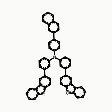 c1cc(-c2ccc3oc4ccccc4c3c2)cc(N(c2ccc(-c3ccc4ccccc4c3)cc2)c2cccc(-c3ccc4sc5ccccc5c4c3)c2)c1